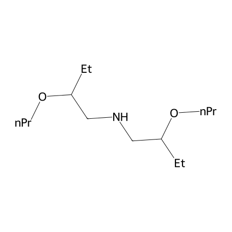 CCCOC(CC)CNCC(CC)OCCC